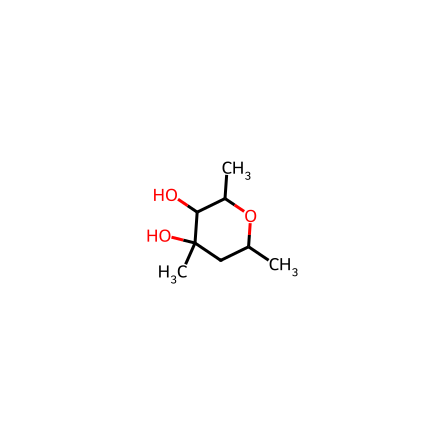 CC1CC(C)(O)C(O)C(C)O1